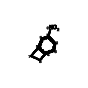 O=[N+]([O-])c1ccc2c(c1)CC2